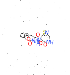 CC(C)CC(NC(=O)OCc1ccccc1)C(=O)NC1Cc2cc(ns2)CCNC(=O)C1=O